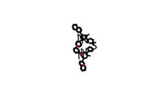 CC1=C(c2ccc(SC3(C)C=CC(C45N=C(c6ccccc6)N=C(c6ccc7ccccc7c6)C4C5C)=CC3)cc2)N=C(c2ccccc2)N=C(c2ccc3ccccc3c2)C1